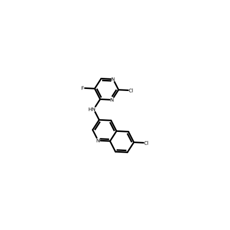 Fc1cnc(Cl)nc1Nc1cnc2ccc(Cl)cc2c1